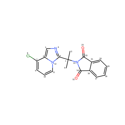 CC(C)(c1ncc2c(Cl)cccn12)N1C(=O)c2ccccc2C1=O